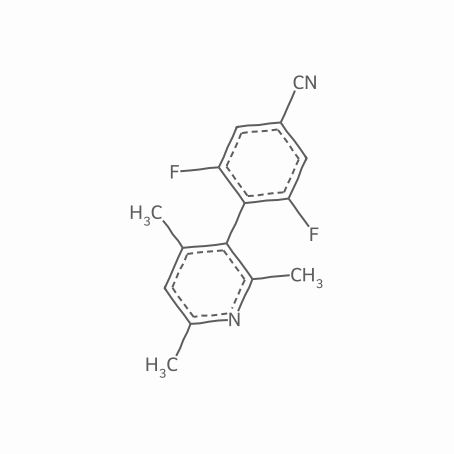 Cc1cc(C)c(-c2c(F)cc(C#N)cc2F)c(C)n1